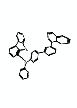 c1ccc(N(c2ccc(-c3cccc(-c4cccc5ccccc45)c3)cc2)c2cccc3c2sc2ccccc23)cc1